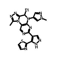 CCC1c2nnc(C)n2-c2cnc(-c3cn[nH]c3-c3nccs3)nc2N1c1cnn(C)c1